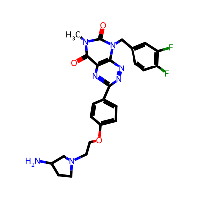 Cn1c(=O)c2nc(-c3ccc(OCCN4CCC(N)C4)cc3)nnc2n(Cc2ccc(F)c(F)c2)c1=O